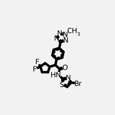 Cn1nnc(-c2ccc(C(C(=O)Nc3nc(Br)cs3)C3CCC(F)(F)C3)cc2)n1